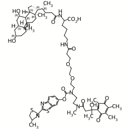 CC1=C(C)C(=O)C(C(C)(C)CC(=O)N(C)CCN(CCOCCOCCC(=O)NCCCCC(NC(=O)CC[C@@H](C)[C@H]2CC[C@H]3[C@@H]4[C@H](O)C[C@@H]5C[C@H](O)CC[C@]5(C)[C@H]4CC[C@]23C)C(=O)O)C(=O)Oc2ccc3nc(C4=NC(C)CS4)sc3c2)=C(C)C1=O